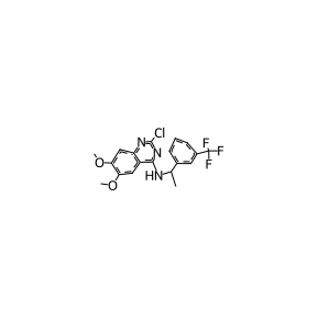 COc1cc2nc(Cl)nc(NC(C)c3cccc(C(F)(F)F)c3)c2cc1OC